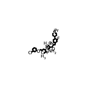 C\C=C(F)/C(=C\C=C\Oc1cccc(Cl)c1)n1ncc(C(=O)c2cc3cc(F)c(C4CCN(C(C)C)CC4)cc3n2C)c1N